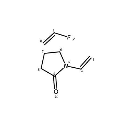 C=CF.C=CN1CCCC1=O